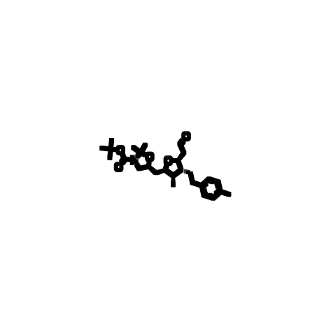 Cc1ccc(CC[C@@H]2[C@@H](C)[C@@H](C[C@H]3CN(C(=O)OC(C)(C)C)C(C)(C)O3)O[C@H]2CC=O)cc1